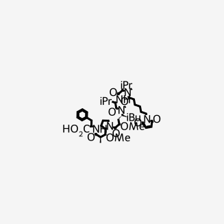 CC[C@H](C)[C@H](CC(OC)C(=O)N1CCCC1[C@H](OC)[C@@H](C)C(=O)NC(Cc1ccccc1)C(=O)O)N(C)C(=O)C(NC(=O)C(C(C)C)N(C)C(=O)CCCCCN1C(=O)C=CC1=O)C(C)C